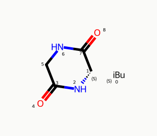 CC[C@H](C)[C@@H]1NC(=O)CNC1=O